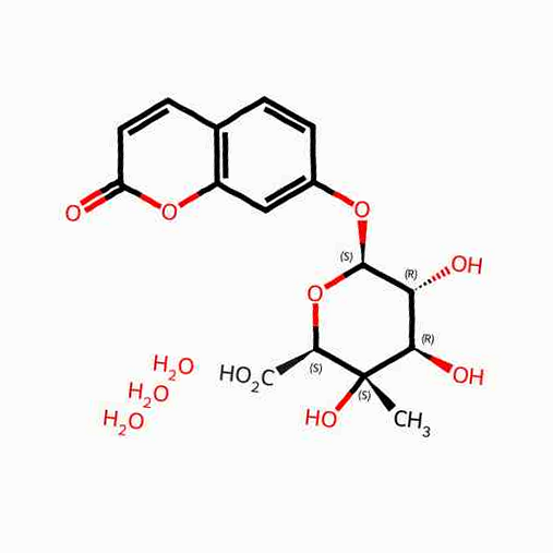 C[C@@]1(O)[C@@H](C(=O)O)O[C@@H](Oc2ccc3ccc(=O)oc3c2)[C@H](O)[C@H]1O.O.O.O